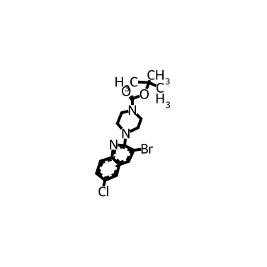 CC(C)(C)OC(=O)N1CCN(c2nc3ccc(Cl)cc3cc2Br)CC1